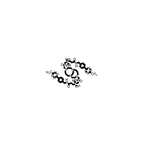 Cc1nnc(-c2ccc(CNC(=O)CCP(=O)(O)CP(=O)(O)CN3CCCN4CCN(CCCN(CP(=O)(O)CP(=O)(O)CCC(=O)NCc5ccc(-c6nnc(C)nn6)cc5)CC4)CC3)cc2)nn1